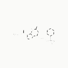 COC(=O)c1csc2c(CCCC3(c4ccccc4)CC3)cc(=O)[nH]c12